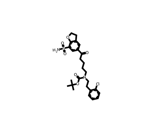 CC(C)(C)OC(=O)N(CCCCC(=O)c1cc2c(c(S(N)(=O)=O)c1)OCC2)CCc1ccccc1Cl